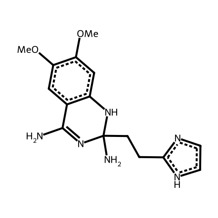 COc1cc2c(cc1OC)C(N)=NC(N)(CCc1ncc[nH]1)N2